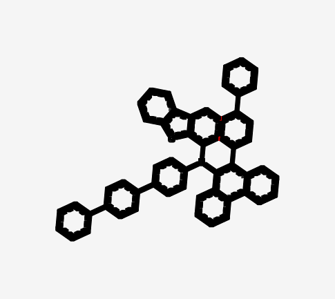 c1ccc(-c2ccc(-c3ccc(N(c4c(-c5ccc(-c6ccccc6)cc5)c5ccccc5c5ccccc45)c4cccc5c4oc4ccccc45)cc3)cc2)cc1